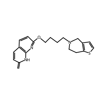 C=C1C=Cc2ccc(OCCCCN3CCc4sccc4C3)nc2N1